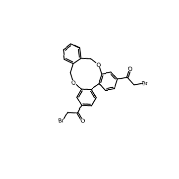 O=C(CBr)c1ccc2c(c1)OCc1ccccc1COc1cc(C(=O)CBr)ccc1-2